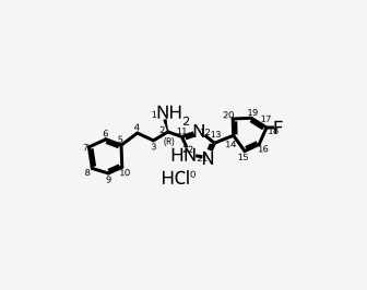 Cl.N[C@H](CCc1ccccc1)c1nc(-c2ccc(F)cc2)n[nH]1